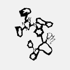 C=C1/C=C\C=C/Cc2c(n(-c3ccccc3)c3ccccc23)/C=C\1c1ccc2c(c1)c1c3ccccc3ccc1n2-c1nc(-c2ccccc2)nc(-c2ccccc2)n1